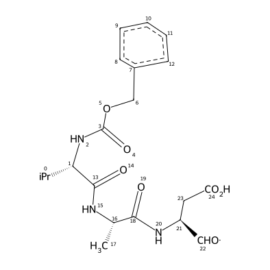 CC(C)[C@H](NC(=O)OCc1ccccc1)C(=O)N[C@@H](C)C(=O)N[C@H]([C]=O)CC(=O)O